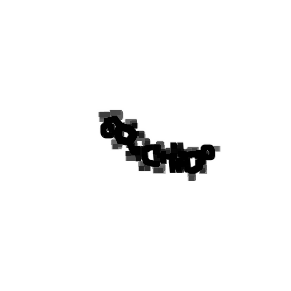 [O-][S+]1CCn2nc(N3CCN(Cc4ccc5c(c4)OCC5)CC3)nc2C1